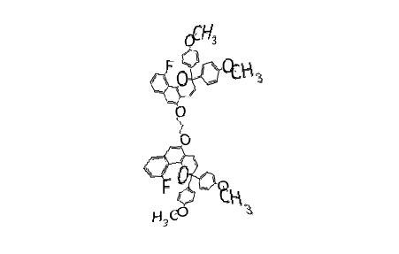 COc1ccc(C2(c3ccc(OC)cc3)C=Cc3c(OCCCOc4cc5cccc(F)c5c5c4C=CC(c4ccc(OC)cc4)(c4ccc(OC)cc4)O5)cc4cccc(F)c4c3O2)cc1